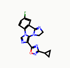 Fc1ccc2c(c1)C1=NCCN1c1c(-c3nc(C4CC4)no3)ncn1-2